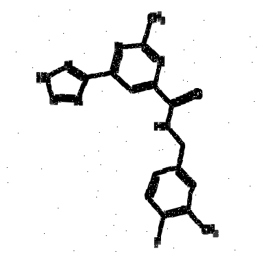 Cc1nc(C(=O)NCc2ccc(F)c(C)c2)cc(-c2nn[nH]n2)n1